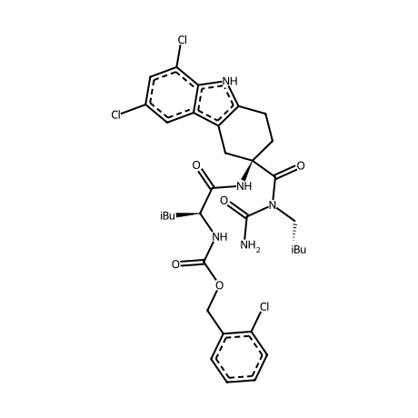 CCC(C)[C@H](NC(=O)OCc1ccccc1Cl)C(=O)N[C@]1(C(=O)N(C[C@@H](C)CC)C(N)=O)CCc2[nH]c3c(Cl)cc(Cl)cc3c2C1